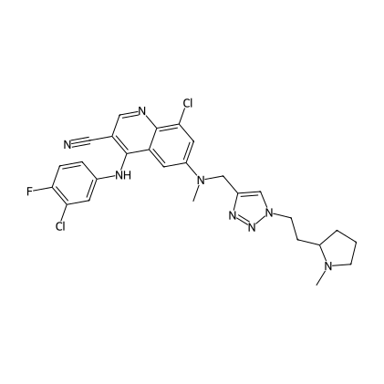 CN(Cc1cn(CCC2CCCN2C)nn1)c1cc(Cl)c2ncc(C#N)c(Nc3ccc(F)c(Cl)c3)c2c1